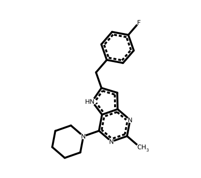 Cc1nc(N2CCCCC2)c2[nH]c(Cc3ccc(F)cc3)cc2n1